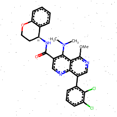 COc1ncc(-c2cccc(Cl)c2Cl)c2ncc(C(=O)N[C@H]3CCOc4ccccc43)c(N(C)C)c12